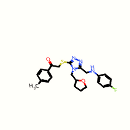 Cc1ccc(C(=O)CSc2nnc(CNc3ccc(F)cc3)n2CC2CCCO2)cc1